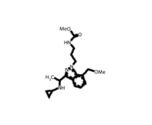 COCc1cccc2c(C(C)NC3CC3)nn(CCCNC(=O)OC)c12